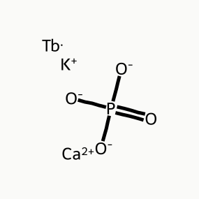 O=P([O-])([O-])[O-].[Ca+2].[K+].[Tb]